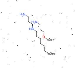 CCCCCCCCCCCCCCCCNCCCN.CCCCCCCCCCOCCCN